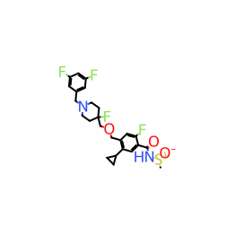 C[S+]([O-])NC(=O)c1cc(C2CC2)c(COCC2(F)CCN(Cc3cc(F)cc(F)c3)CC2)cc1F